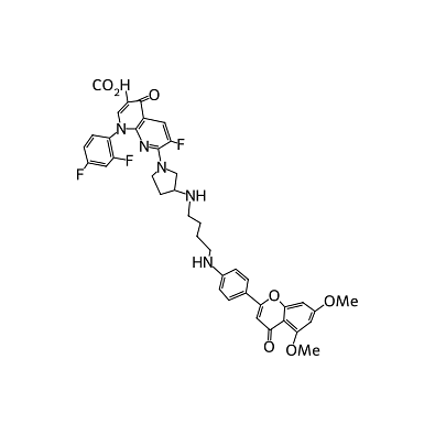 COc1cc(OC)c2c(=O)cc(-c3ccc(NCCCCNC4CCN(c5nc6c(cc5F)c(=O)c(C(=O)O)cn6-c5ccc(F)cc5F)C4)cc3)oc2c1